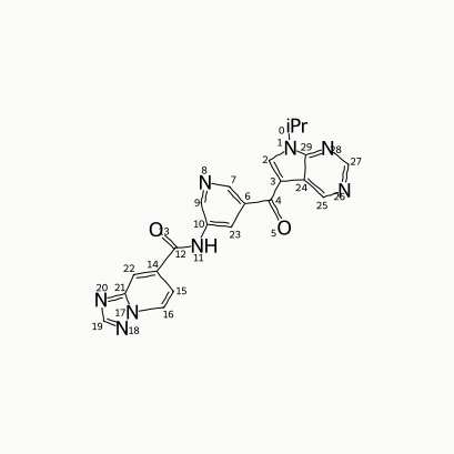 CC(C)n1cc(C(=O)c2cncc(NC(=O)c3ccn4ncnc4c3)c2)c2cncnc21